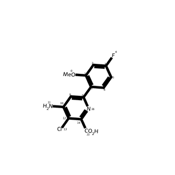 COc1cc(F)ccc1-c1cc(N)c(Cl)c(C(=O)O)n1